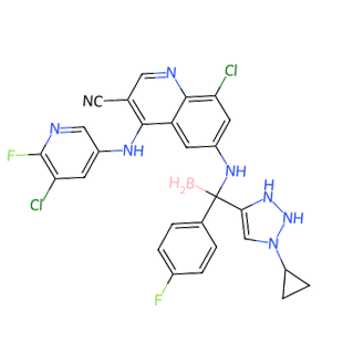 BC(Nc1cc(Cl)c2ncc(C#N)c(Nc3cnc(F)c(Cl)c3)c2c1)(C1=CN(C2CC2)NN1)c1ccc(F)cc1